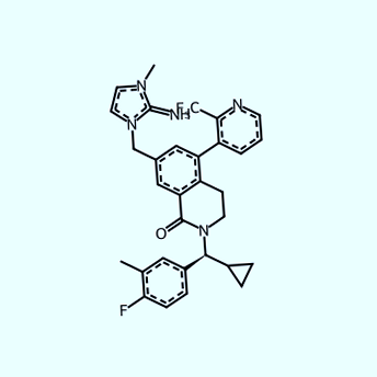 Cc1cc([C@H](C2CC2)N2CCc3c(cc(Cn4ccn(C)c4=N)cc3-c3cccnc3C(F)(F)F)C2=O)ccc1F